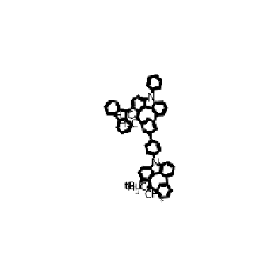 CC(C)(C)c1ccc2c3c1C(C)(C)c1cccc(c1)-c1cccc(c13)n2-c1ccc(-c2cc3cc(c2)C(C)(C)c2c(C4c5ccccc5-c5ccccc54)ccc4c2c2c-3cccc2n4-c2ccccc2)cc1